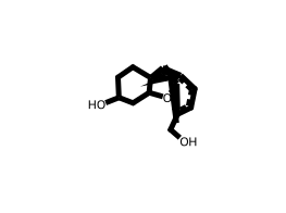 CN1CCC23CCC(O)CC2Oc2c(CO)ccc(c23)C1